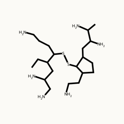 CCC(CC(N)CN)C(CCCN)SSC1C(CCN)CCC1CC(N)C(C)N